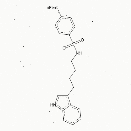 CCCCCc1ccc(S(=O)(=O)NCCCCc2c[nH]c3ccccc23)cc1